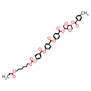 C=CC(=O)OCCCCCCOC(=O)Oc1ccc(C(=O)Oc2ccc(C(=O)Oc3ccc(C(=O)O[C@H]4COC5C4OC[C@H]5OC(=O)c4ccc(C)cc4)cc3)cc2)cc1